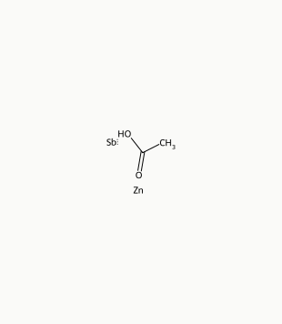 CC(=O)O.[Sb].[Zn]